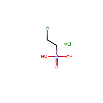 Cl.O=P(O)(O)CCCl